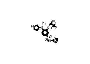 CN(c1ccc(S(=O)(=O)Nc2ncns2)cc1Cl)[C@H]1CCNC1.O=C(O)C(F)(F)F